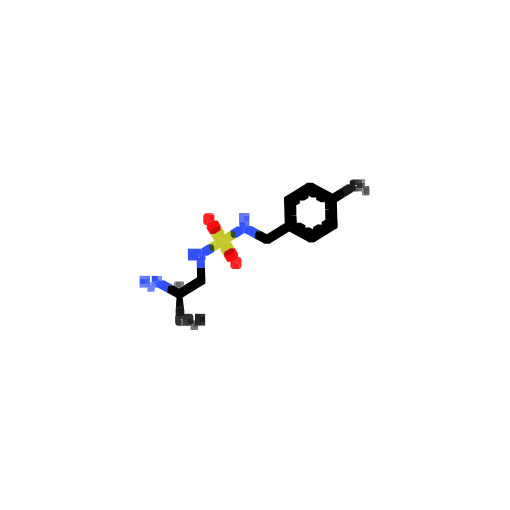 N[C@@H](CNS(=O)(=O)NCc1ccc(C(F)(F)F)cc1)C(=O)O